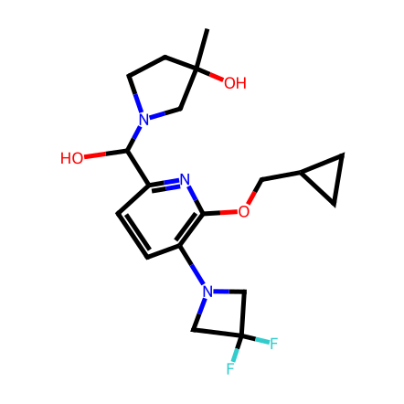 CC1(O)CCN(C(O)c2ccc(N3CC(F)(F)C3)c(OCC3CC3)n2)C1